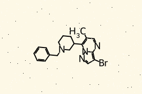 Cc1cnc2c(Br)cnn2c1C1CCCN(Cc2ccccc2)C1